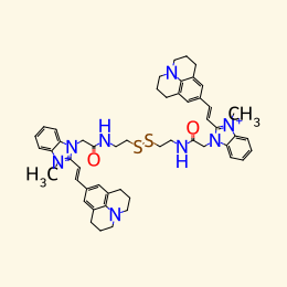 C[n+]1c(/C=C/c2cc3c4c(c2)CCCN4CCC3)n(CC(=O)NCCSSCCNC(=O)Cn2c(/C=C/c3cc4c5c(c3)CCCN5CCC4)[n+](C)c3ccccc32)c2ccccc21